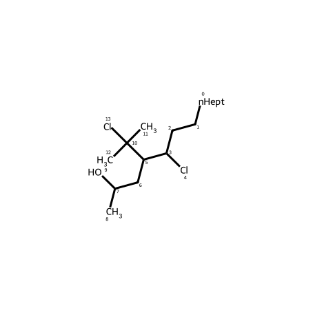 CCCCCCCCCC(Cl)C(CC(C)O)C(C)(C)Cl